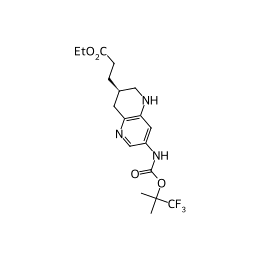 CCOC(=O)CC[C@H]1CNc2cc(NC(=O)OC(C)(C)C(F)(F)F)cnc2C1